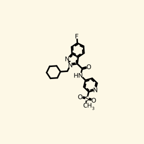 CS(=O)(=O)c1cc(NC(=O)c2c3ccc(F)cc3nn2CC2CCCCC2)ccn1